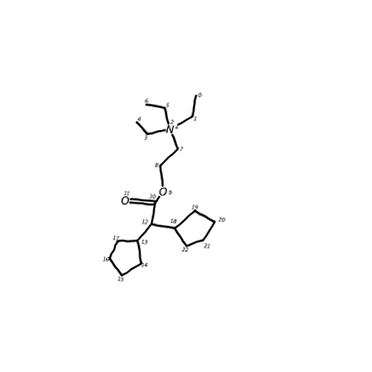 CC[N+](CC)(CC)CCOC(=O)C(C1CCCC1)C1CCCC1